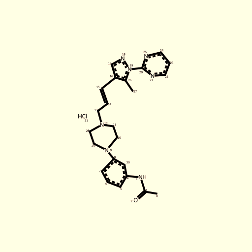 CC(=O)Nc1cccc(N2CCN(CC=Cc3cnn(-c4ncccn4)c3C)CC2)c1.Cl